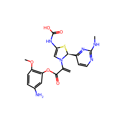 C=C(C(=O)Oc1cc(N)ccc1OC)N1C=C(NC(=O)O)S[C@H]1c1ccnc(NC)n1